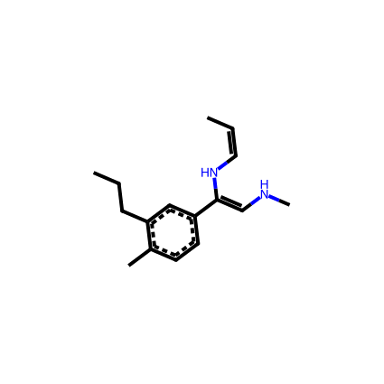 C/C=C\N/C(=C\NC)c1ccc(C)c(CCC)c1